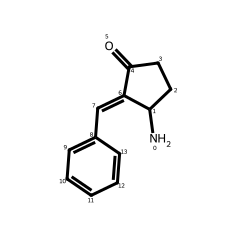 NC1CCC(=O)C1=Cc1ccccc1